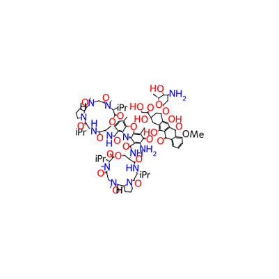 COc1cccc2c1C(=O)c1c(O)c3c(c(O)c1C2=O)C[C@@](O)(C(=O)CO)C[C@@H]3O[C@H]1C[C@H](N)[C@H](O)[C@H](C)O1.Cc1c2oc3c(C)ccc(C(=O)N[C@@H]4C(=O)N[C@H](C(C)C)C(=O)N5CCC[C@H]5C(=O)N(C)CC(=O)N(C)[C@@H](C(C)C)C(=O)O[C@@H]4C)c3nc-2c(C(=O)N[C@@H]2C(=O)N[C@H](C(C)C)C(=O)N3CCC[C@H]3C(=O)N(C)CC(=O)N(C)[C@@H](C(C)C)C(=O)O[C@@H]2C)c(N)c1=O